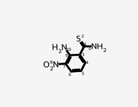 NC(=S)c1cccc([N+](=O)[O-])c1N